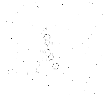 COc1ccc2[nH]c(C(=O)N[C@@H](CCCCCC(C)=O)c3ncc(-c4ccccc4)[nH]3)cc2c1